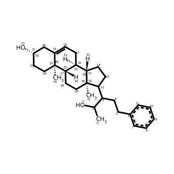 CC(O)C(CCc1ccccc1)C1CC[C@H]2[C@@H]3CC=C4C[C@@H](O)CC[C@]4(C)[C@H]3CC[C@]12C